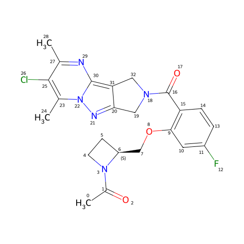 CC(=O)N1CC[C@H]1COc1cc(F)ccc1C(=O)N1Cc2nn3c(C)c(Cl)c(C)nc3c2C1